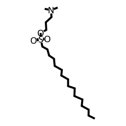 CCCCCCCCCCCCCCCCS(=O)(=O)OCCCN(C)C